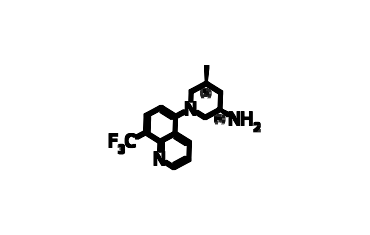 C[C@H]1C[C@@H](N)CN(c2ccc(C(F)(F)F)c3ncccc23)C1